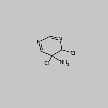 NC1(Cl)C=NC=NC1Cl